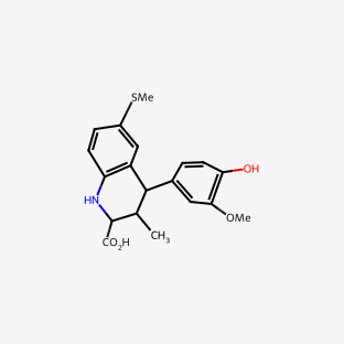 COc1cc(C2c3cc(SC)ccc3NC(C(=O)O)C2C)ccc1O